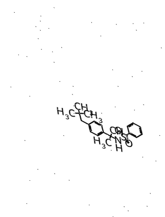 CC(C)(C)Cc1ccc(C(C)(C)NS(=O)(=O)c2ccccc2)cc1